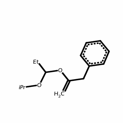 C=C(Cc1ccccc1)OC(CC)OC(C)C